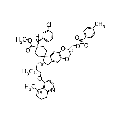 COC(=O)C1(Nc2cccc(Cl)c2)CCC2(CC1)c1cc3c(cc1C[C@@H]2C[C@@H](C)COc1ccnc2c1[C@H](C)CCC2)OC[C@@H](COS(=O)(=O)c1ccc(C)cc1)O3